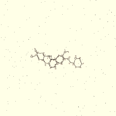 COc1cc2c(NC3=CC(=O)C(Cl)=CC3=O)ncnc2cc1OCC1CCCCO1